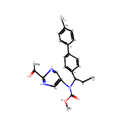 COC(=O)c1ncc(N(C(=O)OC(C)(C)C)C(CC(C)C)c2ccc(-c3ccc(C(F)(F)F)cc3)cc2)cn1